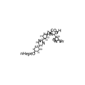 CCCCCCCOc1ccc(-c2cnc(-c3ccc(C[C@H](NC(=O)c4cc(C(C)C)no4)C(=O)O)cc3)nc2)cc1